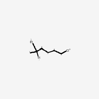 CCC(C)(CC)CCCCCl